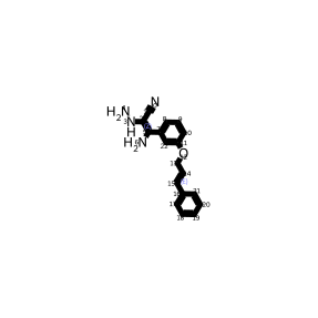 N#C/C(NN)=C(/N)c1cccc(OC/C=C/c2ccccc2)c1